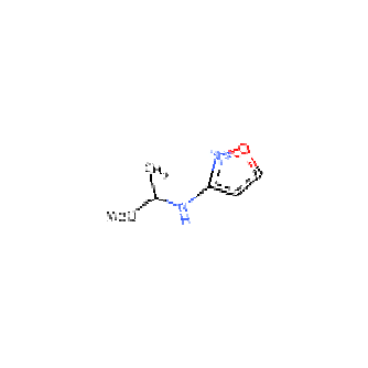 COC(C)Nc1ccon1